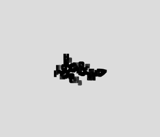 COc1cnc(C(F)F)cc1-c1cc(-n2ccc(-c3nc(N4CC5CC5C4)ns3)c(F)c2=O)ncc1C(N)=O